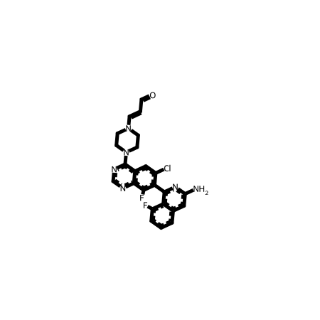 Nc1cc2cccc(F)c2c(-c2c(Cl)cc3c(N4CCN(C=CC=O)CC4)ncnc3c2F)n1